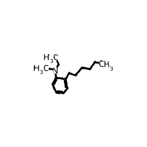 CCCCCCc1ccccc1N(C)CC